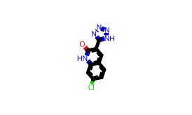 O=c1[nH]c2cc(Cl)ccc2cc1-c1nnn[nH]1